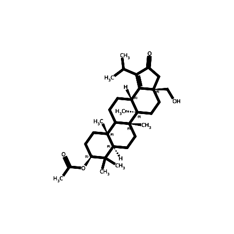 CC(=O)O[C@H]1CC[C@]2(C)C3CC[C@@H]4C5=C(C(C)C)C(=O)C[C@]5(CO)CC[C@@]4(C)[C@]3(C)CC[C@H]2C1(C)C